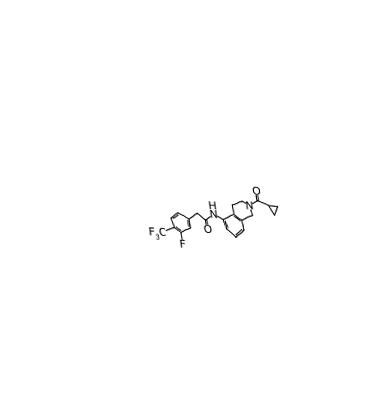 O=C(Cc1ccc(C(F)(F)F)c(F)c1)Nc1cccc2c1CCN(C(=O)C1CC1)C2